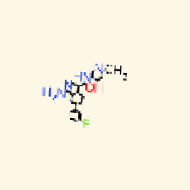 Cc1ccc(NC(O)c2cnc(N)c3cc(-c4cccc(F)c4)ccc23)cn1